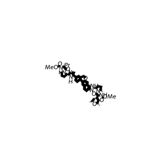 COC(=O)N[C@H](C(=O)N1[C@@H](C)CC[C@H]1c1ncc(-c2ccc3c(c2)COc2cc4c(ccc5nc([C@@H]6CC[C@H](C)N6C(=O)[C@@H](NC(=O)OC)[C@H]6C[C@@H](C)O[C@@H](C)C6)[nH]c54)cc2-3)[nH]1)C(C)C